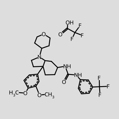 COc1ccc(C23CCC(NC(=O)Nc4cccc(C(F)(F)F)c4)CC2N(C2CCOCC2)CC3)cc1OC.O=C(O)C(F)(F)F